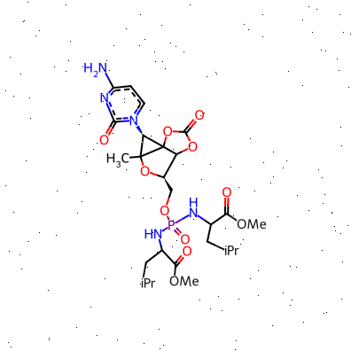 COC(=O)C(CC(C)C)NP(=O)(NC(CC(C)C)C(=O)OC)OC[C@H]1OC2(C)[C@@H](n3ccc(N)nc3=O)C23OC(=O)OC13